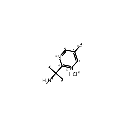 CC(C)(N)c1ncc(Br)cn1.Cl